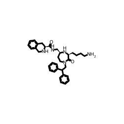 NCCCC[C@@H]1N[C@H](CNC(=O)[C@@H]2Cc3ccccc3CN2)CCN(CC(c2ccccc2)c2ccccc2)C1=O